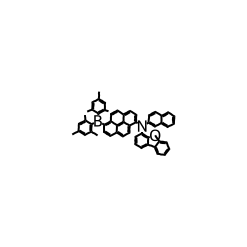 Cc1cc(C)c(B(c2c(C)cc(C)cc2C)c2ccc3ccc4c(N(c5ccc6ccccc6c5)c5cccc6c5oc5ccccc56)ccc5ccc2c3c54)c(C)c1